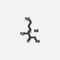 CCC/C=C(\C)C(=O)OO.Cl